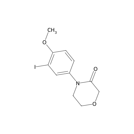 COc1ccc(N2CCOCC2=O)cc1I